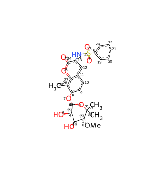 CO[C@@H]1[C@@H](O)[C@@H](O)[C@H](Oc2ccc3cc(NS(=O)(=O)c4ccccc4)c(=O)oc3c2C)OC1(C)C